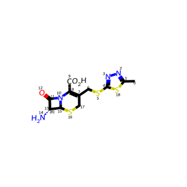 Cc1nnc(SCC2=C(C(=O)O)N3C(=O)[C@@H](N)C3SC2)s1